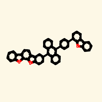 c1ccc2c(c1)oc1c(-c3ccc(-c4c5ccccc5c(-c5ccc6oc7c(ccc8c9ccccc9oc87)c6c5)c5ccccc45)cc3)cccc12